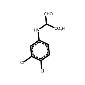 O=CC(Nc1ccc(Cl)c(Cl)c1)C(=O)O